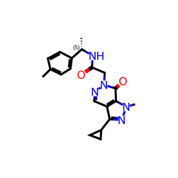 Cc1ccc([C@H](C)NC(=O)Cn2ncc3c(C4CC4)nn(C)c3c2=O)cc1